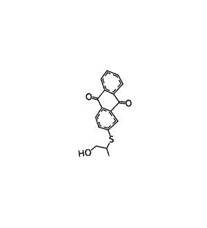 CC(CO)Sc1ccc2c(c1)C(=O)c1ccccc1C2=O